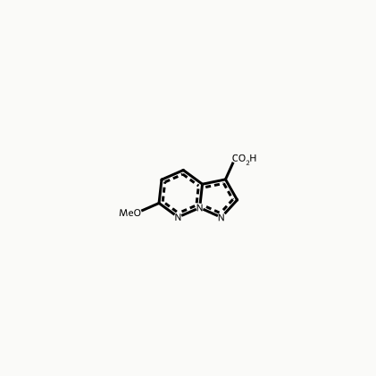 COc1ccc2c(C(=O)O)cnn2n1